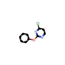 Clc1ccnc(Oc2ccccc2)n1